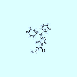 CCOC(=O)c1cnn(C(c2ccccc2)c2ccccc2)c1